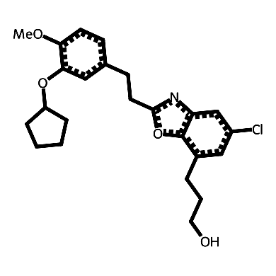 COc1ccc(CCc2nc3cc(Cl)cc(CCCO)c3o2)cc1OC1CCCC1